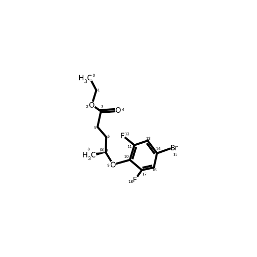 CCOC(=O)CC[C@H](C)Oc1c(F)cc(Br)cc1F